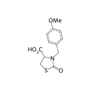 COc1ccc(CN2C(=O)SCC2C(=O)O)cc1